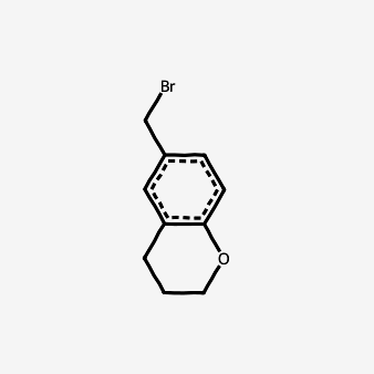 BrCc1ccc2c(c1)CCCO2